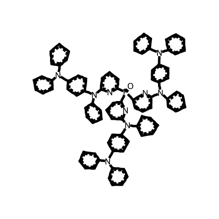 O=P(c1cccc(N(c2ccccc2)c2ccc(N(c3ccccc3)c3ccccc3)cc2)n1)(c1cccc(N(c2ccccc2)c2ccc(N(c3ccccc3)c3ccccc3)cc2)n1)c1cccc(N(c2ccccc2)c2ccc(N(c3ccccc3)c3ccccc3)cc2)n1